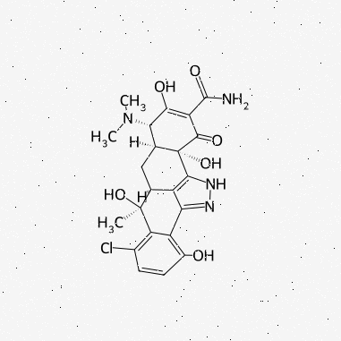 CN(C)[C@@H]1C(O)=C(C(N)=O)C(=O)[C@@]2(O)c3[nH]nc4c3[C@H](C[C@@H]12)[C@](C)(O)c1c(Cl)ccc(O)c1-4